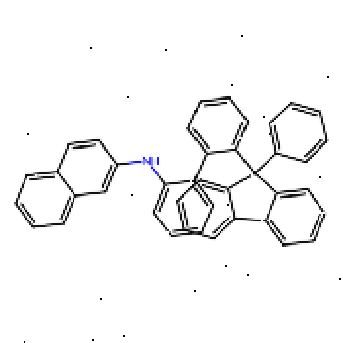 c1ccc(C2(c3ccccc3-c3ccccc3Nc3ccc4ccccc4c3)c3ccccc3-c3ccccc32)cc1